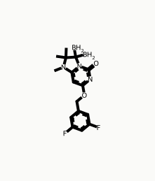 BC1(B)n2c(cc(OCc3cc(F)cc(F)c3)nc2=O)N(C)C1(C)C